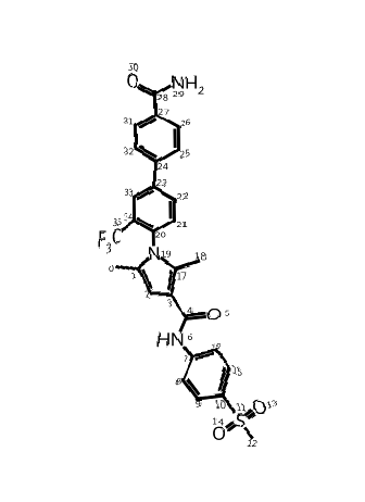 Cc1cc(C(=O)Nc2ccc(S(C)(=O)=O)cc2)c(C)n1-c1ccc(-c2ccc(C(N)=O)cc2)cc1C(F)(F)F